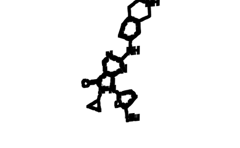 CC(C)(C)c1ccc(-n2c3nc(Nc4ccc5c(c4)CNCC5)ncc3c(=O)n2C2CC2)o1